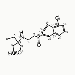 CCC(CO)(CO)NCCC(=O)c1ccc2c(Cl)cccc2c1